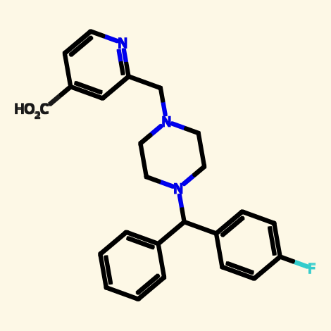 O=C(O)c1ccnc(CN2CCN(C(c3ccccc3)c3ccc(F)cc3)CC2)c1